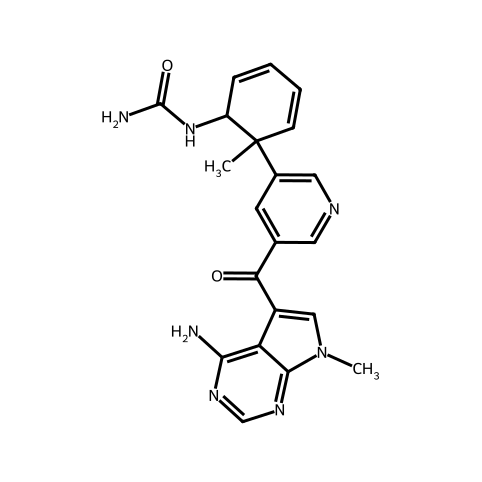 Cn1cc(C(=O)c2cncc(C3(C)C=CC=CC3NC(N)=O)c2)c2c(N)ncnc21